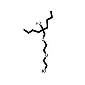 CCCCC(O)(CCCC)COCCOCCO